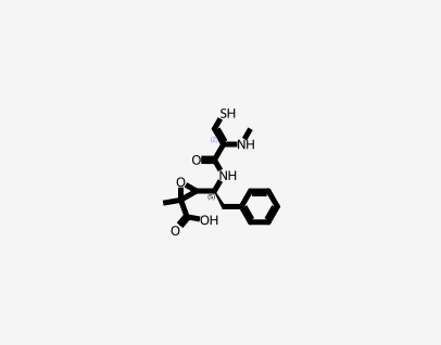 CN/C(=C\S)C(=O)N[C@@H](Cc1ccccc1)C1OC1(C)C(=O)O